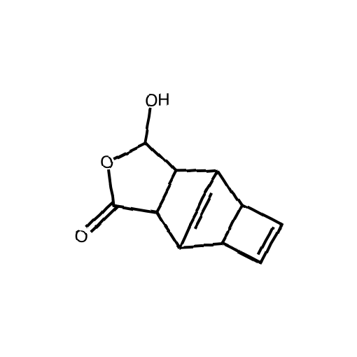 O=C1OC(O)C2C3C=CC(C4C=CC43)C12